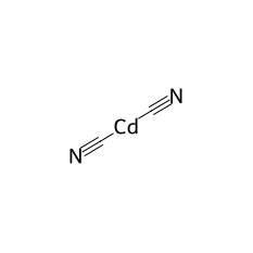 N#[C][Cd][C]#N